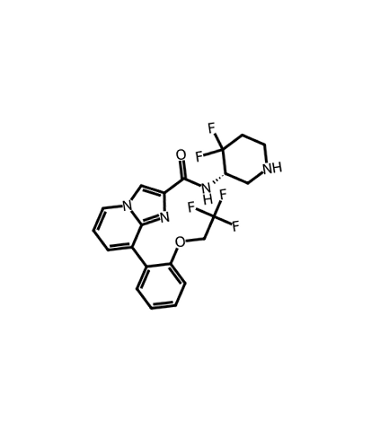 O=C(N[C@H]1CNCCC1(F)F)c1cn2cccc(-c3ccccc3OCC(F)(F)F)c2n1